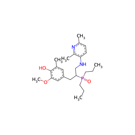 CCCP(=O)(CCC)C(CNc1ccc(C)nc1C)Cc1cc(C)c(O)c(OC)c1